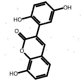 O=c1oc2c(O)cccc2cc1-c1cc(O)ccc1O